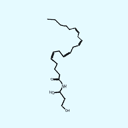 CCCCC/C=C\C/C=C\C/C=C\C/C=C\CCCC(=O)NC(O)CCO